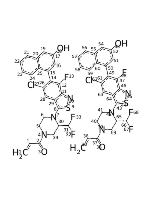 C=CC(=O)N1CCN(c2snc3c(F)c(-c4cc(O)cc5ccccc45)c(Cl)cc23)[C@@H](C(F)F)C1.C=CC(=O)N1CCN(c2snc3c(F)c(-c4cc(O)cc5ccccc45)c(Cl)cc23)[C@H](C(F)F)C1